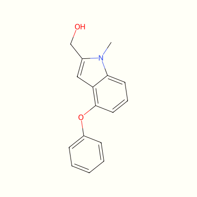 Cn1c(CO)cc2c(Oc3ccccc3)cccc21